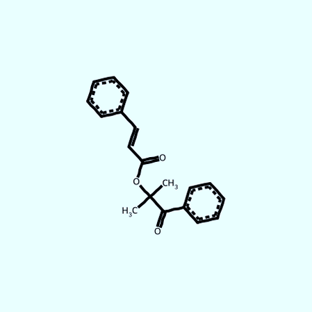 CC(C)(OC(=O)C=Cc1ccccc1)C(=O)c1ccccc1